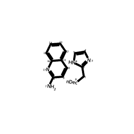 CCCCCCCCCCCc1ncc[nH]1.Nc1ccc2ccccc2n1